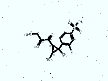 CC1(c2ccc(S(C)(=O)=O)cc2C(F)(F)F)C(C#N)C1C(=O)C(=O)CC=O